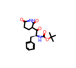 CC(C)(C)OC(=O)N[C@@H](Cc1ccccc1)C(=O)C1CCC(=O)NC1=O